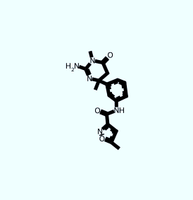 Cc1cc(C(=O)Nc2cccc(C3(C)CC(=O)N(C)C(N)=N3)c2)no1